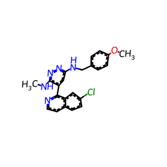 CNc1nnc(NCc2ccc(OC)cc2)cc1-c1nccc2ccc(Cl)cc12